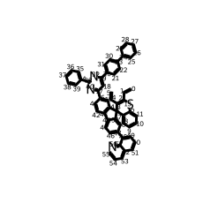 C=CC1=C(C=C)C2(c3ccccc3S1)c1cc(-c3cc(-c4ccc(-c5ccccc5)cc4)nc(-c4ccccc4)n3)ccc1-c1ccc(-c3cccc4cccnc34)cc12